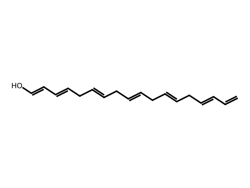 C=CC=CCC=CCC=CCC=CCC=CC=CO